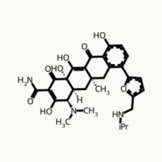 CC(C)NCc1ccc(-c2ccc(O)c3c2C[C@@]2(C)C[C@H]4[C@@H](N(C)C)C(O)=C(C(N)=O)C(=O)[C@@]4(O)C(O)=C2C3=O)o1